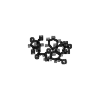 O=C1Nc2c(Cl)cc3nc(C(=O)N4C[C@@H]5C[C@H]4CO5)oc3c2C2(CCCCC2)N1